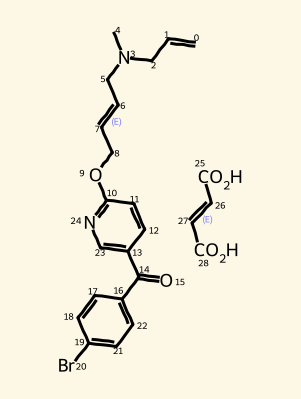 C=CCN(C)C/C=C/COc1ccc(C(=O)c2ccc(Br)cc2)cn1.O=C(O)/C=C/C(=O)O